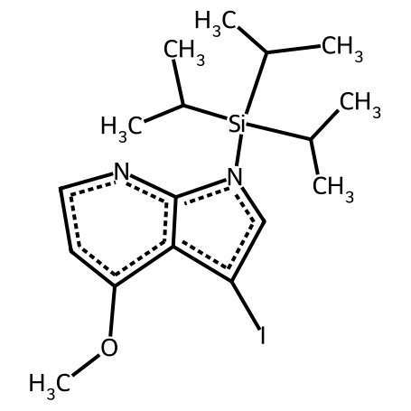 COc1ccnc2c1c(I)cn2[Si](C(C)C)(C(C)C)C(C)C